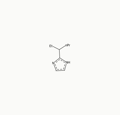 CCCC(CC)c1n[c]c[nH]1